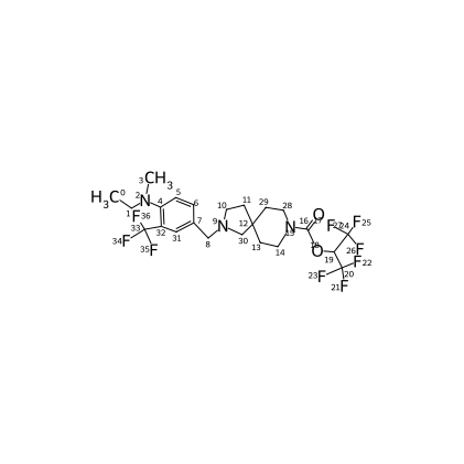 CCN(C)c1ccc(CN2CCC3(CCN(C(=O)OC(C(F)(F)F)C(F)(F)F)CC3)C2)cc1C(F)(F)F